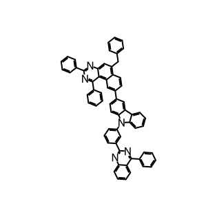 c1ccc(Cc2cc3nc(-c4ccccc4)nc(-c4ccccc4)c3c3cc(-c4ccc5c(c4)c4ccccc4n5-c4cccc(-c5nc(-c6ccccc6)c6ccccc6n5)c4)ccc23)cc1